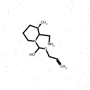 C=CCOC(O)N1CCC[C@@H](C)C1CN